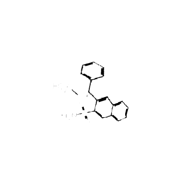 NS(=O)(=O)c1cc2ccccc2cc1[C@H](CC(=O)O)c1ccccc1